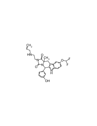 C=CCNCCN1C(=O)N2C(c3cccc(O)c3)c3[nH]c4ccc(OC(F)F)cc4c3CC2(C)C1=O